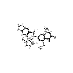 COc1cc(NC(=O)c2cc3c(nc2N2C[C@H]4C[C@@H]2CO4)COC3)cc2c(C)cc(=O)[nH]c12